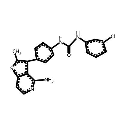 Cc1sc2ccnc(N)c2c1-c1ccc(NC(=O)Nc2cccc(Cl)c2)cc1